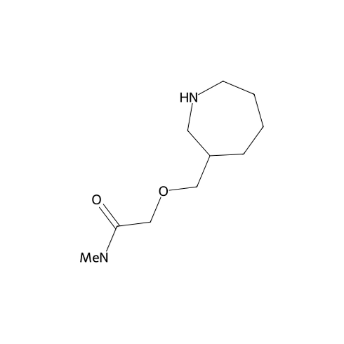 CNC(=O)COCC1CCCCNC1